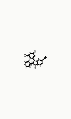 N#Cc1ccc2c(n1)C(c1cc(Cl)cc(Cl)c1)C(c1ccncc1)N2